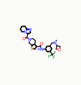 CN(Cc1cc(NC(=O)c2csc3c2CCN(C(=O)c2cnc4ccccn24)C3)cc(C(F)(F)F)c1)C1COC1